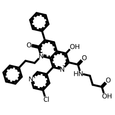 O=C(O)CCNC(=O)c1nc(-c2cncc(Cl)c2)c2c(cc(-c3ccccc3)c(=O)n2CCc2ccccc2)c1O